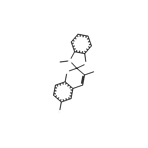 CC1=Cc2cc(Br)ccc2OC12Sc1ccccc1N2C